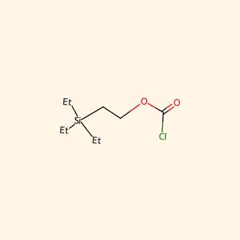 CC[Si](CC)(CC)CCOC(=O)Cl